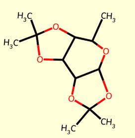 CC1OC2OC(C)(C)OC2C2OC(C)(C)OC12